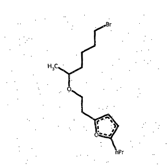 CCCc1ccc(CCOC(C)CCCCBr)o1